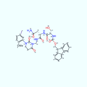 COc1ccc(I)cc1N1CCC(=O)N(CNC(=O)[C@H](CC(N)=O)NC(=O)[C@H](CO)NC(=O)OCC2c3ccccc3-c3ccccc32)C1=O